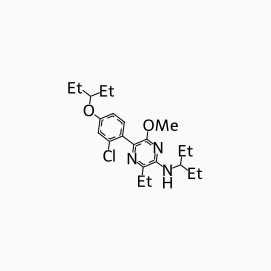 CCc1nc(-c2ccc(OC(CC)CC)cc2Cl)c(OC)nc1NC(CC)CC